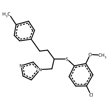 COc1cc(Cl)ccc1SC(CCc1ccc(C)cc1)Cn1ccnc1